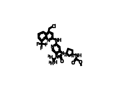 [2H]C([2H])([2H])n1c(=O)n([C@@H]2CC[C@@H](NC(=O)OC)C2)c2cc(Nc3cc(CCl)c4cccc(C(F)(F)F)c4n3)ncc21